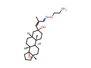 CC(C=NOCCN)=C[C@]1(O)CC[C@@]2(C)[C@H](CC[C@@H]3[C@@H]2CC[C@]2(C)CCC[C@]32O)C1